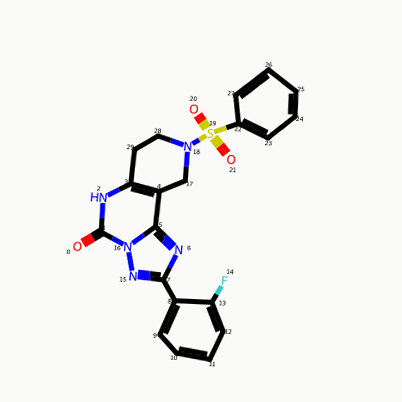 O=c1[nH]c2c(c3nc(-c4ccccc4F)nn13)CN(S(=O)(=O)c1ccccc1)CC2